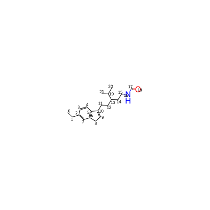 CCc1ccc2c(c1)CC=C2CCC(CCNC=O)C(C)C